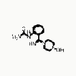 N=C(c1ccccc1NC(N)=O)N1CCN(O)CC1